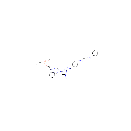 CCOP(=O)(CCCN1CCN(c2cc(N)nc(NC[C@H]3CC[C@H](CNCCCNC4CCCCC4)CC3)n2)CC12CCCCC2)OCC